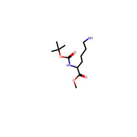 COC(=O)C(CCCC[NH])NC(=O)OC(C)(C)C